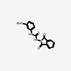 CSc1cccc(NC(=S)NN2C(=O)c3ccccc3C2=O)c1